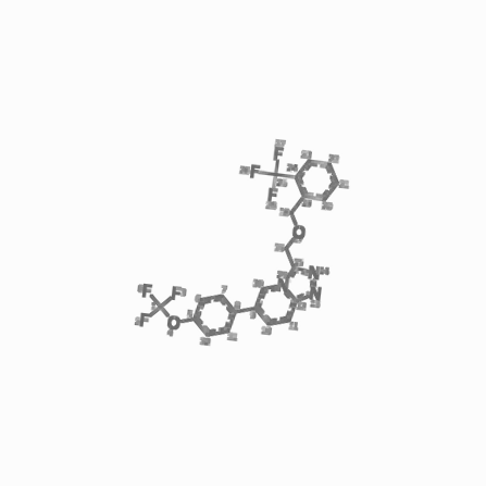 FC(F)(F)Oc1ccc(-c2ccc3nnc(COCc4ccccc4C(F)(F)F)n3c2)cc1